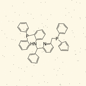 c1ccc(C(Nc2ccccc2P(c2ccccc2)c2ccccc2)c2cccc(CP(c3ccccc3)c3ccccc3)n2)cc1